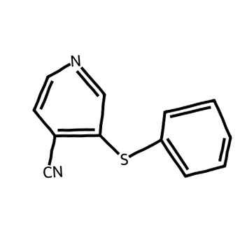 N#Cc1ccncc1Sc1ccccc1